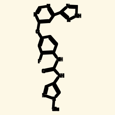 CC(C)(C)n1cc(NC(=O)Nc2ccc(Oc3cc(-c4nc[nH]n4)ncn3)cc2F)cn1